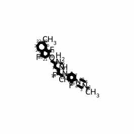 CCN1CCN(c2ccc(NC(C)/C(F)=C(CCCOC3CC(F)=C4CCCC(C)=CC4=C3F)\N=C/N)cc2F)CC1